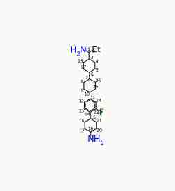 CCC(N)C1CCC(C2CCC(c3ccc(C4CCC(N)CC4)c(F)c3)CC2)CC1